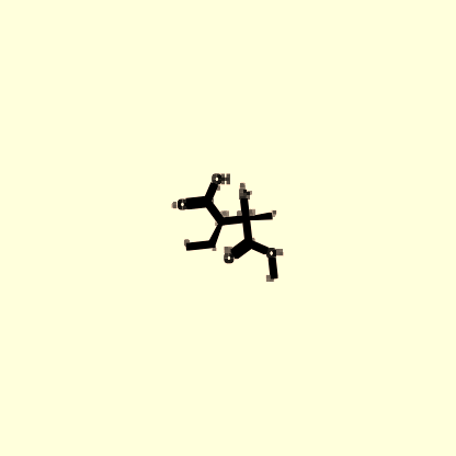 CC[C@@H](C(=O)O)[C@](C)(Br)C(=O)OC